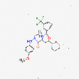 CCN(Nc1ccc(OC)cc1)C(=O)C(CCC1CCCCC1)NC(=O)c1cccc(C(F)(F)F)c1